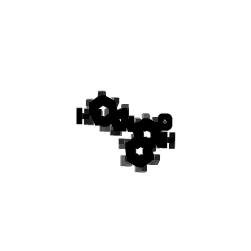 O=c1cc(N2CC3(CCCNC3)C2)c2ccccc2[nH]1